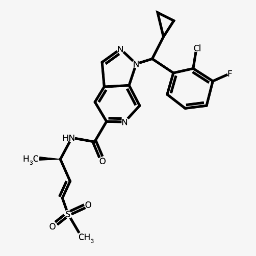 C[C@H](/C=C/S(C)(=O)=O)NC(=O)c1cc2cnn(C(c3cccc(F)c3Cl)C3CC3)c2cn1